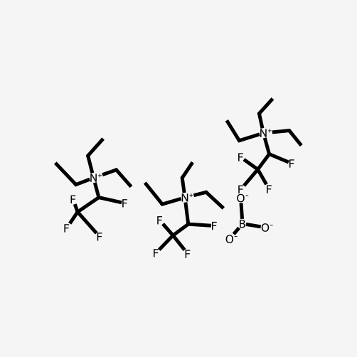 CC[N+](CC)(CC)C(F)C(F)(F)F.CC[N+](CC)(CC)C(F)C(F)(F)F.CC[N+](CC)(CC)C(F)C(F)(F)F.[O-]B([O-])[O-]